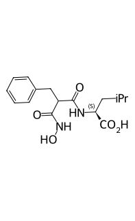 CC(C)C[C@H](NC(=O)C(Cc1ccccc1)C(=O)NO)C(=O)O